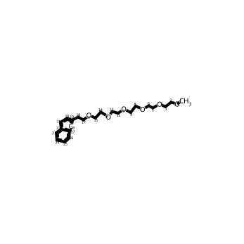 COCCOCCOCCOCCOCCOCCc1ccc2ccccc2c1